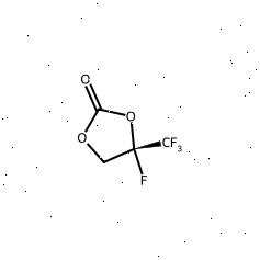 O=C1OC[C@](F)(C(F)(F)F)O1